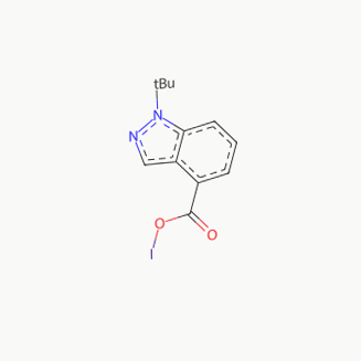 CC(C)(C)n1ncc2c(C(=O)OI)cccc21